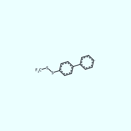 FC(F)(F)SSc1ccc(-c2cc[c]cc2)cc1